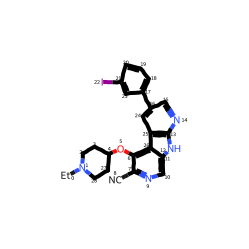 CCN1CCC(Oc2c(C#N)ncc3[nH]c4ncc(-c5cccc(I)c5)cc4c23)CC1